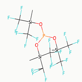 C[Si](OP(O[Si](C)(C(F)(F)F)C(F)(F)F)O[Si](C)(C(F)(F)F)C(F)(F)F)(C(F)(F)F)C(F)(F)F